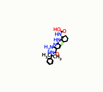 CC(C)(NC(=O)c1cc(F)c(N[C@H]2CCCC[C@H]2NC(=O)O)nc1N)c1ccccc1